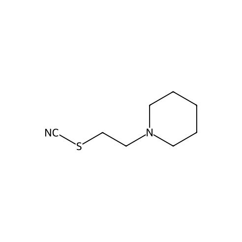 N#CSCCN1CCCCC1